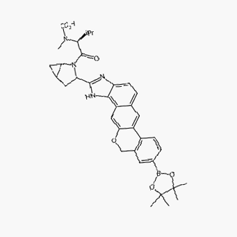 CC(C)[C@@H](C(=O)N1C(c2nc3ccc4cc5c(cc4c3[nH]2)OCc2cc(B3OC(C)(C)C(C)(C)O3)ccc2-5)CC2CC21)N(C)C(=O)O